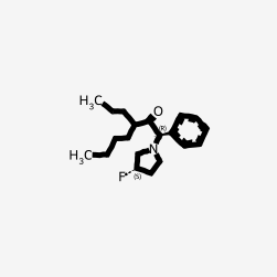 CCCCC(CCC)C(=O)[C@@H](c1ccccc1)N1CC[C@H](F)C1